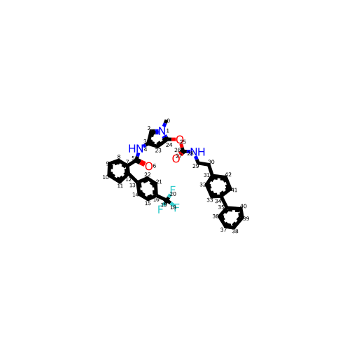 Cn1cc(NC(=O)c2ccccc2-c2ccc(C(F)(F)F)cc2)cc1OC(=O)NCCc1ccc(-c2ccccc2)cc1